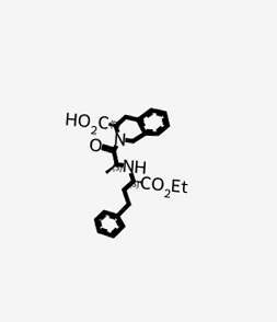 CCOC(=O)[C@H](CCc1ccccc1)N[C@@H](C)C(=O)N1Cc2ccccc2C[C@@H]1C(=O)O